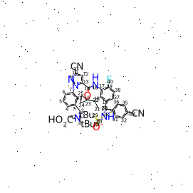 CC(C)(C)N(Cc1cccc(-n2nc(C#N)cc2C(=O)Nc2cc([C@](CCC3CC3)(N[S@+]([O-])C(C)(C)C)c3ccc(C#N)cc3)ccc2F)c1)C(=O)O